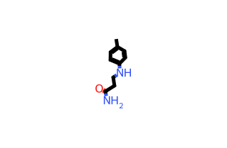 Cc1ccc(NCCC(N)=O)cc1